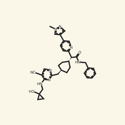 Cn1cc(-c2ccc(C(C(=O)NCc3ccccc3)[C@H]3CC[C@H](Cc4ncc(C#N)c(NCC5(O)CC5)n4)CC3)nc2)cn1